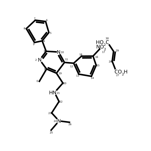 Cc1nc(-c2ccccc2)nc(-c2cccc([N+](=O)[O-])c2)c1CNCCN(C)C.O=C(O)C=CC(=O)O